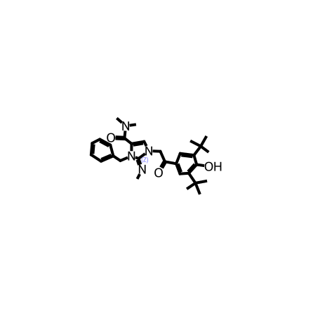 C/N=c1/n(CC(=O)c2cc(C(C)(C)C)c(O)c(C(C)(C)C)c2)cc(C(=O)N(C)C)n1Cc1ccccc1